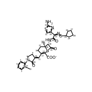 C[n+]1ccccc1N1CC/C(=C\C2=C(C(=O)[O-])N3C(=O)[C@@H](NC(=O)/C(=N\OC4CCCC4)c4csc(N)n4)[C@H]3CC2)C1=O